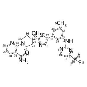 Cc1cc(Nc2nccc(C(F)(F)F)n2)cc(-c2cnc(C3(O)CCN(c4ncccc4C(N)=O)CC3)s2)c1